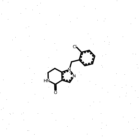 O=C1NCCc2c1cnn2Cc1ccccc1Cl